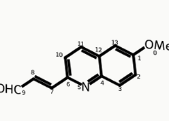 COc1ccc2nc(C=CC=O)ccc2c1